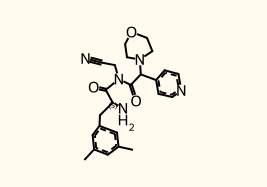 Cc1cc(C)cc(C[C@H](N)C(=O)N(CC#N)C(=O)C(c2ccncc2)N2CCOCC2)c1